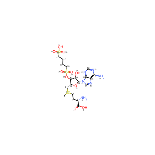 C[S+](CC[C@H](N)C(=O)O)C[C@H]1O[C@@H](n2cnc3c(N)ncnc32)[C@H](O)[C@@H]1OS(=O)(=O)CCCCS(=O)(=O)O